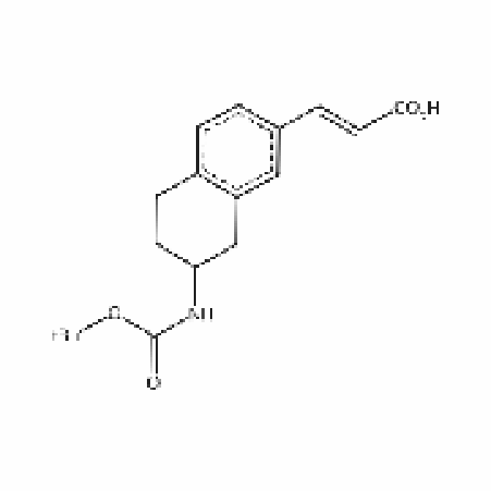 CC(C)(C)OC(=O)NC1CCc2ccc(C=CC(=O)O)cc2C1